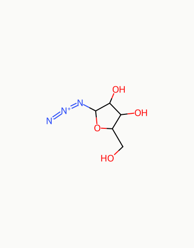 [N-]=[N+]=NC1OC(CO)C(O)C1O